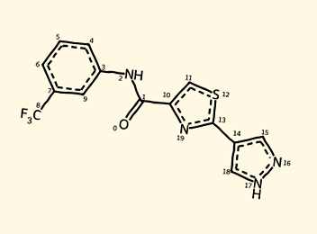 O=C(Nc1cccc(C(F)(F)F)c1)c1csc(-c2cn[nH]c2)n1